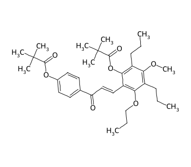 CCCOc1c(C=CC(=O)c2ccc(OC(=O)C(C)(C)C)cc2)c(OC(=O)C(C)(C)C)c(CCC)c(OC)c1CCC